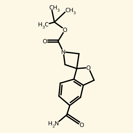 CC(C)(C)OC(=O)N1CC2(C1)OCc1cc(C(N)=O)ccc12